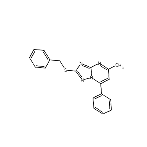 Cc1cc(-c2ccccc2)n2nc(SCc3ccccc3)nc2n1